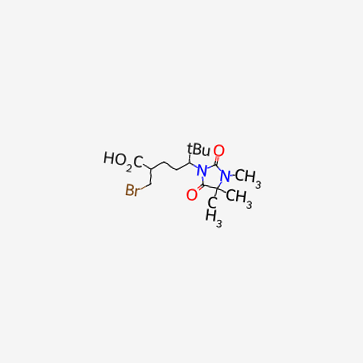 CN1C(=O)N(C(CCC(CBr)C(=O)O)C(C)(C)C)C(=O)C1(C)C